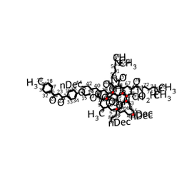 CCCCCCCCCCCCCCCCC(C)CC(C(=O)OCCOc1ccc(C(=O)CC(=O)c2ccc(C)cc2)cc1)C(C(=O)O)C(CCCCCCCCCCCCCCCC)CC1C(=O)N(CCCN(C)C)C(=O)C1C(CCCCCCCCCCCCCCCC)CC(C(=O)NCCCN(C)C)C(C(=O)O)C(CCCCCCCCCCCCCCCC)CC1C(=O)OC(=O)C1C